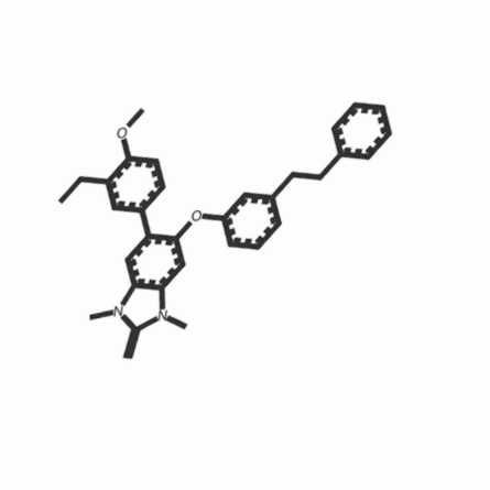 C=C1N(C)c2cc(Oc3cccc(CCc4ccccc4)c3)c(-c3ccc(OC)c(CC)c3)cc2N1C